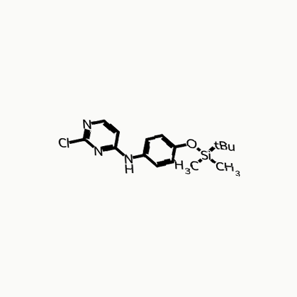 CC(C)(C)[Si](C)(C)Oc1ccc(Nc2ccnc(Cl)n2)cc1